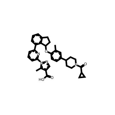 Cc1cc(C2CCN(C(=O)C3CC3)CC2)ccc1OC1CCc2cccc(-c3cccc(-n4ncc(C(=O)O)c4C)n3)c21